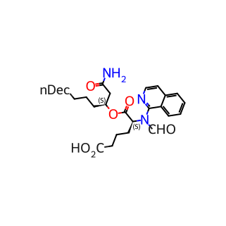 CCCCCCCCCCCCC[C@@H](CC(N)=O)OC(=O)[C@H](CCCC(=O)O)N(C=O)c1nccc2ccccc12